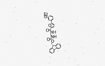 CCOc1cccc(-c2ccc(C(=O)NCNC(=O)OCC3c4ccccc4-c4ccccc43)o2)c1